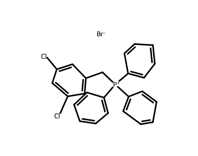 Clc1cc(Cl)cc(C[P+](c2ccccc2)(c2ccccc2)c2ccccc2)c1.[Br-]